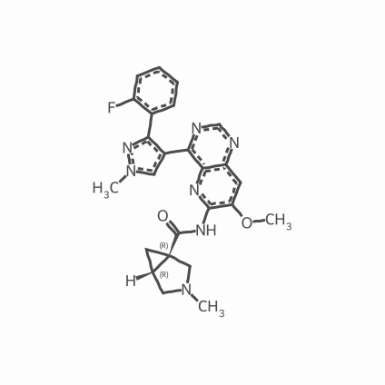 COc1cc2ncnc(-c3cn(C)nc3-c3ccccc3F)c2nc1NC(=O)[C@]12C[C@H]1CN(C)C2